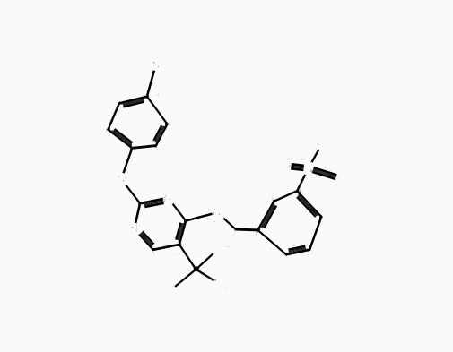 CS(=O)(=O)c1cccc(CNc2nc(Nc3ccc(N)cc3)ncc2C(F)(F)F)c1